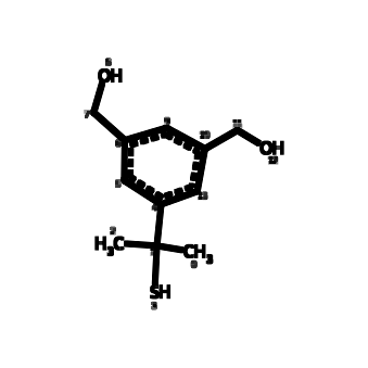 CC(C)(S)c1cc(CO)cc(CO)c1